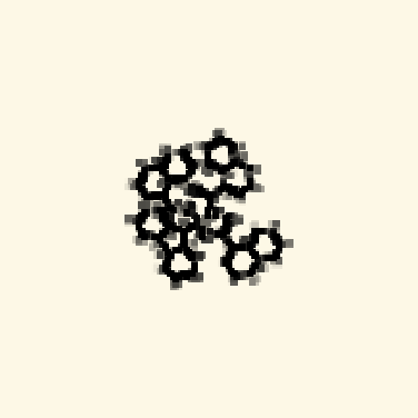 O=C([O][Ti]([O]C(=O)c1cccc2ccccc12)([O]C(=O)c1cccc2ccccc12)[CH]1c2ccccc2-c2ccccc21)c1cccc2ccccc12